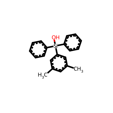 Cc1cc(C)cc([Si](O)(c2ccccc2)c2ccccc2)c1